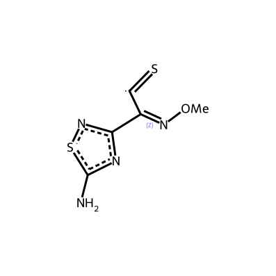 CO/N=C(\[C]=S)c1nsc(N)n1